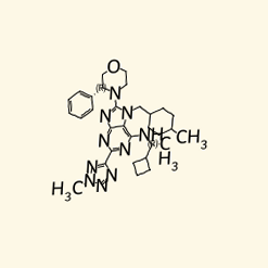 CC1CCC(Cn2c(N3CCOC[C@H]3c3ccccc3)nc3nc(-c4nnn(C)n4)nc(N[C@H](C)C4CCC4)c32)CC1